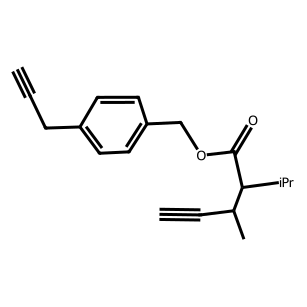 C#CCc1ccc(COC(=O)C(C(C)C)C(C)C#C)cc1